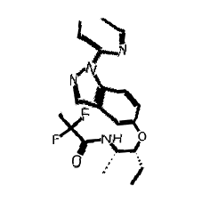 C/C=N\C(=C/C)n1ncc2cc(O[C@H](CC)[C@H](C)NC(=O)C(C)(F)F)ccc21